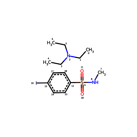 CCN(CC)CC.CNS(=O)(=O)c1ccc(I)cc1